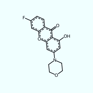 O=c1c2ccc(F)cc2oc2cc(N3CCOCC3)cc(O)c12